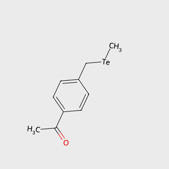 C[Te]Cc1ccc(C(C)=O)cc1